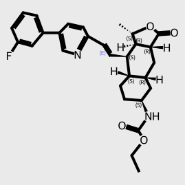 CCOC(=O)N[C@H]1CC[C@H]2[C@@H](C1)C[C@H]1C(=O)O[C@@H](C)[C@@H]1[C@@H]2/C=C/c1ccc(-c2cccc(F)c2)cn1